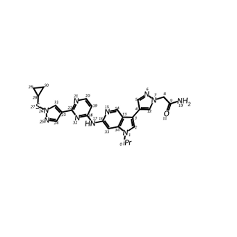 CC(C)n1cc(-c2cnn(CC(N)=O)c2)c2cnc(Nc3ccnc(-c4cnn(SC5CC5)c4)n3)cc21